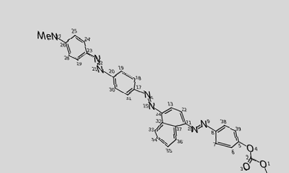 CCCCOC(=O)Oc1ccc(/N=N/c2ccc(/N=N/c3ccc(/N=N/c4ccc(NC)cc4)cc3)c3ccccc23)cc1